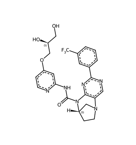 O=C(Nc1cc(OC[C@@H](O)CO)ccn1)N1c2nc(-c3cccc(C(F)(F)F)c3)ncc2N2CC[C@H]1C2